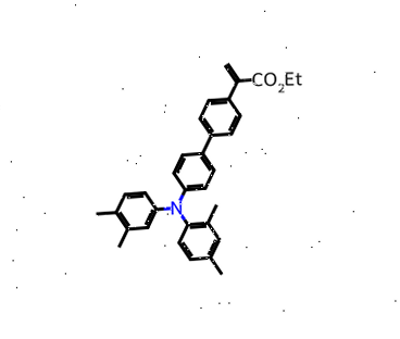 C=C(C(=O)OCC)c1ccc(-c2ccc(N(c3ccc(C)c(C)c3)c3ccc(C)cc3C)cc2)cc1